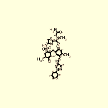 Cc1cc(S(=O)(=O)Nc2csc(C(=O)N(C)CC(N)=O)n2)c(Cc2cc(SNc3cnn(-c4ccccc4)n3)c(C)cc2Cl)cc1Cl